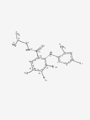 Cc1cc(I)ccc1Nc1c(C(=O)NCC(C)O)cc(F)c(F)c1F